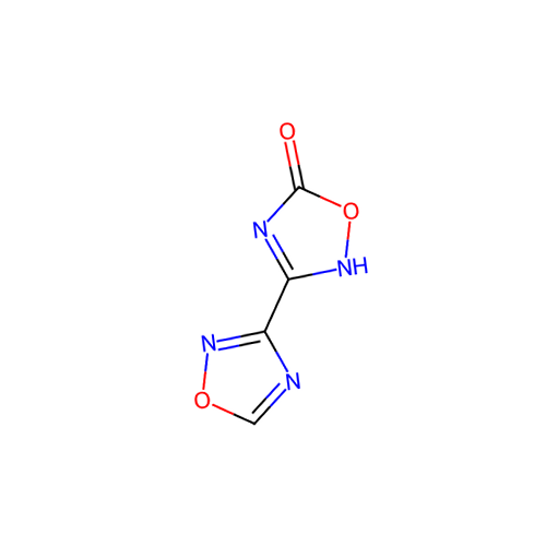 O=c1nc(-c2ncon2)[nH]o1